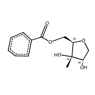 C[C@]1(O)[C@@H](O)CO[C@@H]1COC(=O)c1ccccc1